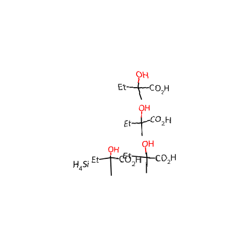 CCC(C)(O)C(=O)O.CCC(C)(O)C(=O)O.CCC(C)(O)C(=O)O.CCC(C)(O)C(=O)O.[SiH4]